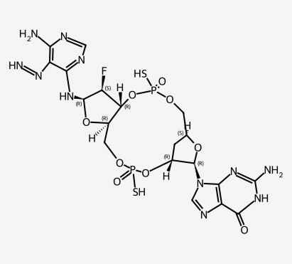 N=Nc1c(N)ncnc1N[C@@H]1O[C@@H]2COP(=O)(S)O[C@@H]3C[C@@H](COP(=O)(S)O[C@H]2[C@@H]1F)O[C@H]3n1cnc2c(=O)[nH]c(N)nc21